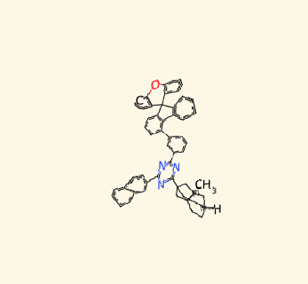 C[C@]12C[C@@H]3CCC1CC(c1nc(-c4cccc(-c5cccc6c5-c5ccccc5C65c6ccccc6Oc6ccccc65)c4)nc(-c4ccc5ccccc5c4)n1)(C3)C2